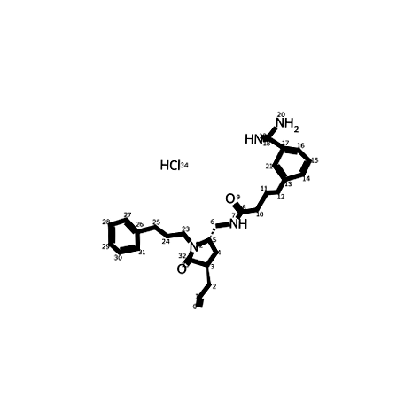 C=CC[C@@H]1C[C@@H](CNC(=O)CCCc2cccc(C(=N)N)c2)N(CCCc2ccccc2)C1=O.Cl